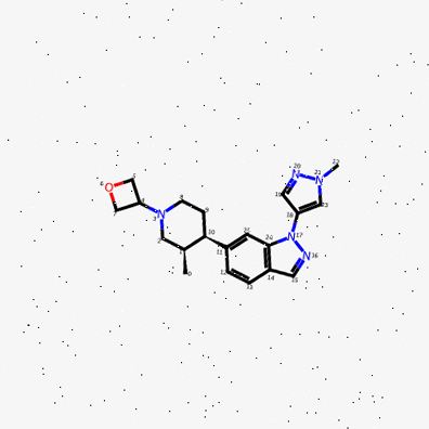 C[C@H]1CN(C2COC2)CC[C@H]1c1ccc2cnn(-c3cnn(C)c3)c2c1